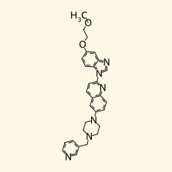 COCCOc1ccc2c(c1)ncn2-c1ccc2cc(N3CCN(Cc4cccnc4)CC3)ccc2n1